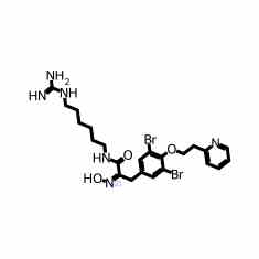 N=C(N)NCCCCCCNC(=O)/C(Cc1cc(Br)c(OCCc2ccccn2)c(Br)c1)=N\O